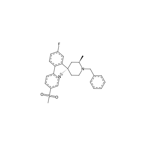 C[C@@H]1C[C@](C#N)(c2cc(F)ccc2-c2ccc(S(C)(=O)=O)cc2)CCN1Cc1ccccc1